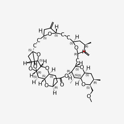 C=C1C[C@@H]2CC[C@@]34C[C@H]5O[C@H]6[C@@H](O3)[C@H]3O[C@H](CC[C@@H]3O[C@H]6[C@H]5O4)CC(=O)O[C@@H]3[C@@H](C)[C@@H]4O[C@H](COC)[C@H](C)C[C@@H]4O[C@H]3C[C@H]3O[C@@H](CC[C@@H]1O2)C[C@@H](C)C3=C